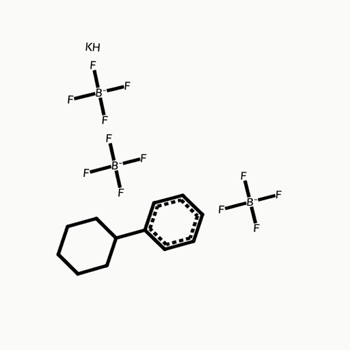 F[B-](F)(F)F.F[B-](F)(F)F.F[B-](F)(F)F.[KH].c1ccc(C2CCCCC2)cc1